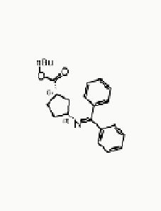 CCCCOC(=O)[C@H]1CC[C@@H](N=C(c2ccccc2)c2ccccc2)C1